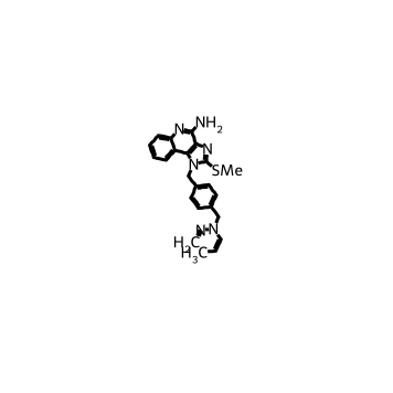 C=NN(/C=C\C)Cc1ccc(Cn2c(SC)nc3c(N)nc4ccccc4c32)cc1